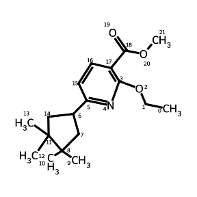 CCOc1nc(C2CC(C)(C)C(C)(C)C2)ccc1C(=O)OC